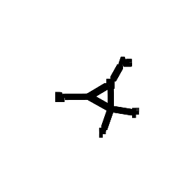 CC(=O)N1C(Br)C1(F)F